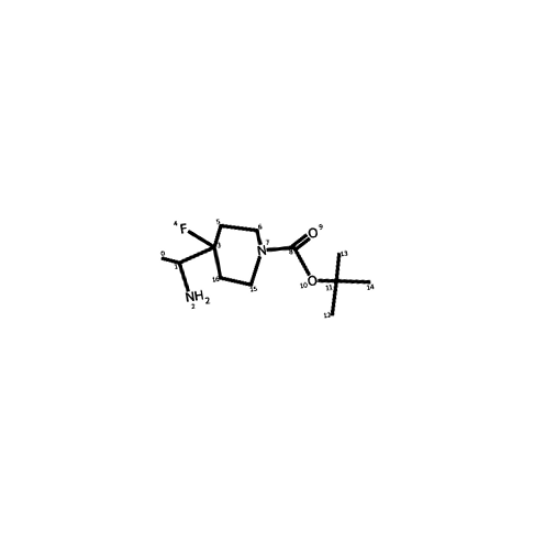 CC(N)C1(F)CCN(C(=O)OC(C)(C)C)CC1